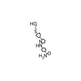 NC(=O)c1ccc(Nc2cccc(-c3ccc(SCCCO)cc3)n2)cc1